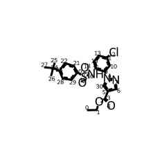 CCOC(=O)c1cnn(-c2cc(Cl)ccc2NS(=O)(=O)c2ccc(C(C)(C)C)cc2)c1